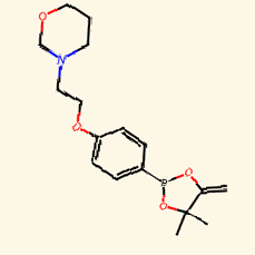 C=C1OB(c2ccc(OCCN3CCCOC3)cc2)OC1(C)C